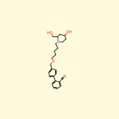 N#Cc1ccccc1-c1ccc(COCCCCCN2CCC(O)CC2CO)cc1